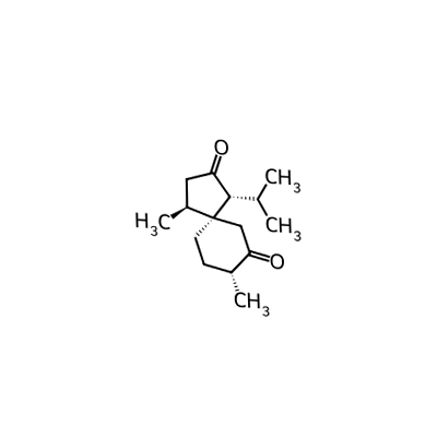 CC(C)[C@H]1C(=O)C[C@H](C)[C@@]12CC[C@@H](C)C(=O)C2